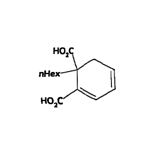 CCCCCCC1(C(=O)O)CC=CC=C1C(=O)O